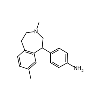 Cc1ccc2c(c1)C(c1ccc(N)cc1)CN(C)CC2